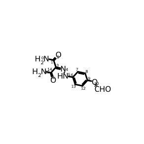 NC(=O)C(=NNc1ccc(OC=O)cc1)C(N)=O